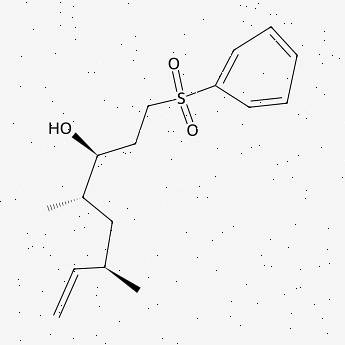 C=C[C@H](C)C[C@H](C)[C@@H](O)CCS(=O)(=O)c1ccccc1